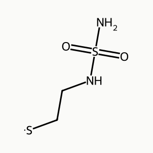 NS(=O)(=O)NCC[S]